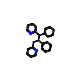 [CH](c1ccccn1)C(c1ccccc1)C(c1ccccc1)c1ccccn1